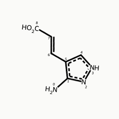 Nc1n[nH]cc1/C=C/C(=O)O